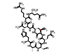 CC(C)C[C@H](NC(=O)[C@H](C)NC(=O)[C@@H](N)Cc1c[nH]cn1)C(=O)N[C@@H](CCC(N)=O)C(=O)N[C@@H](CC(C)C)C(=O)N[C@@H](CC(N)=O)C(=O)N[C@@H](CC(N)=O)C(=O)N[C@@H](CCCNC(=N)N)C(=O)N[C@@H](CCC(N)=O)C(=O)O